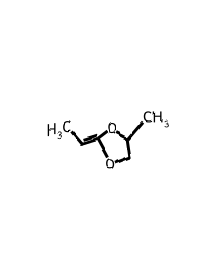 C/C=C1/OCC(C)O1